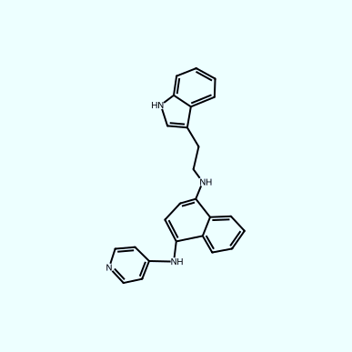 c1ccc2c(CCNc3ccc(Nc4ccncc4)c4ccccc34)c[nH]c2c1